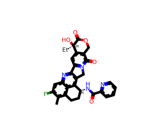 CC[C@]1(O)C(=O)OCc2c1cc1n(c2=O)Cc2c-1nc1cc(F)c(C)c3c1c2[C@H](NC(=O)c1ccccn1)CC3